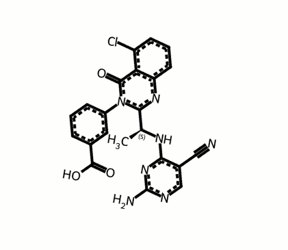 C[C@H](Nc1nc(N)ncc1C#N)c1nc2cccc(Cl)c2c(=O)n1-c1cccc(C(=O)O)c1